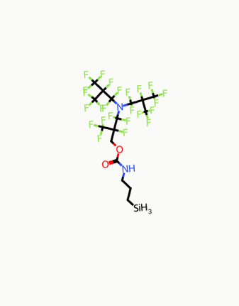 O=C(NCCC[SiH3])OCC(F)(C(F)(F)F)C(F)(F)N(C(F)(F)C(F)(C(F)(F)F)C(F)(F)F)C(F)(F)C(F)(C(F)(F)F)C(F)(F)F